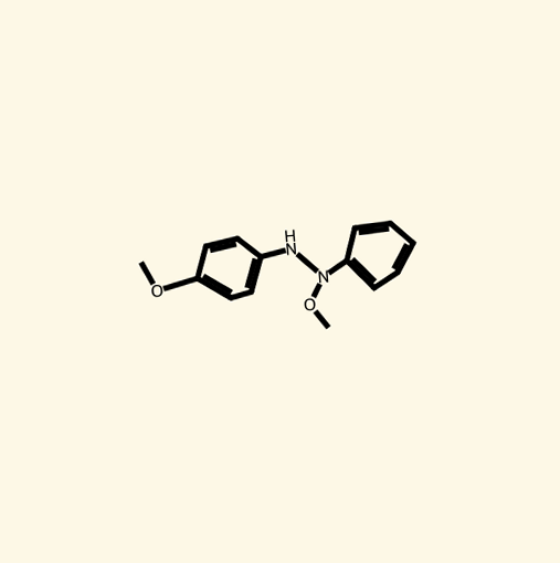 COc1ccc(NN(OC)c2ccccc2)cc1